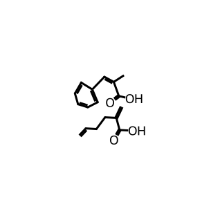 C=CCCC(=C)C(=O)O.CC(=Cc1ccccc1)C(=O)O